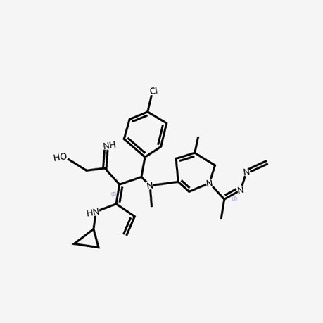 C=C/C(NC1CC1)=C(/C(=N)CO)C(c1ccc(Cl)cc1)N(C)C1=CN(/C(C)=N\N=C)CC(C)=C1